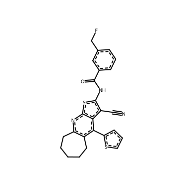 N#Cc1c(NC(=O)c2cccc(CF)c2)sc2nc3c(c(-c4cccs4)c12)CCCCC3